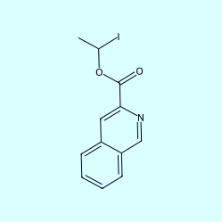 CC(I)OC(=O)c1cc2ccccc2cn1